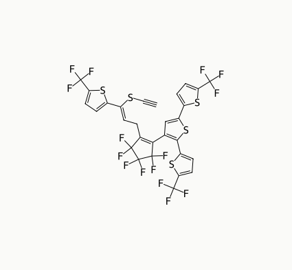 C#CS/C(=C\CC1=C(c2cc(-c3ccc(C(F)(F)F)s3)sc2-c2ccc(C(F)(F)F)s2)C(F)(F)C(F)(F)C1(F)F)c1ccc(C(F)(F)F)s1